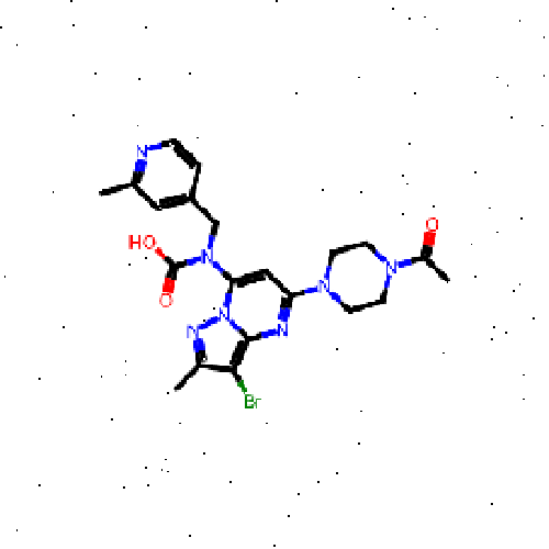 CC(=O)N1CCN(c2cc(N(Cc3ccnc(C)c3)C(=O)O)n3nc(C)c(Br)c3n2)CC1